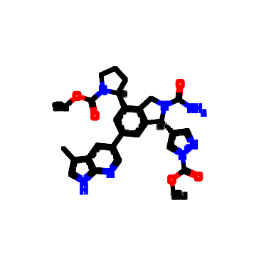 Cc1c[nH]c2ncc(-c3cc4c(c([C@@H]5CCCN5C(=O)OC(C)(C)C)c3)CN(C(N)=O)[C@@H]4c3cnn(C(=O)OC(C)(C)C)c3)cc12